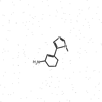 Cn1cncc1C1=CC(N)CCC1